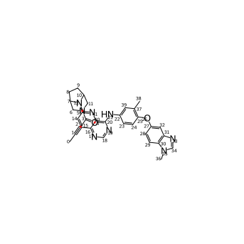 CC#CC(=O)N1CC2CCC(C1)N2c1ccc2ncnc(Nc3ccc(Oc4ccc5c(c4)ncn5C)c(C)c3)c2n1